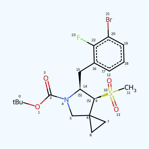 CC(C)(C)OC(=O)N1CC2(CC2)[C@H](S(C)(=O)=O)[C@@H]1Cc1cccc(Br)c1F